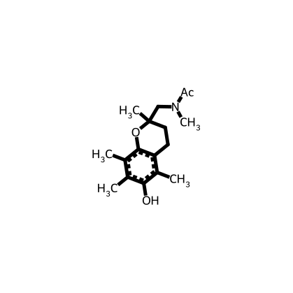 CC(=O)N(C)CC1(C)CCc2c(C)c(O)c(C)c(C)c2O1